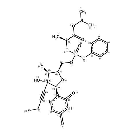 CC(C)OC(=O)[C@H](C)OP(=O)(OC[C@H]1O[C@@H](n2ncc(=O)[nH]c2=O)[C@@](O)(C#CCF)[C@H]1O)Oc1ccccc1